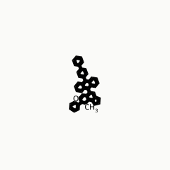 CC1c2c(c(-c3c4ccccc4c(-c4ccc(-c5ccccc5)cc4)c4ccccc34)cc3c2CC=C3)C=C2Oc3ccccc3C21